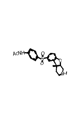 CC(=O)Nc1ccc(S(=O)(=O)c2ccc3c(c2)C2(C)CCNCC2O3)cc1